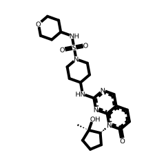 C[C@@]1(O)CCC[C@H]1n1c(=O)ccc2cnc(NC3CCN(S(=O)(=O)NC4CCOCC4)CC3)nc21